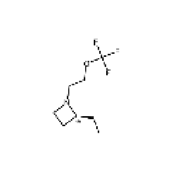 CC[C@H]1CCN1CCOC(F)(F)F